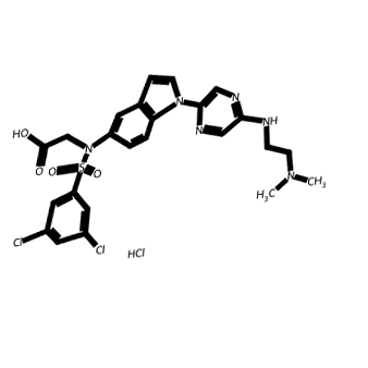 CN(C)CCNc1cnc(-n2ccc3cc(N(CC(=O)O)S(=O)(=O)c4cc(Cl)cc(Cl)c4)ccc32)cn1.Cl